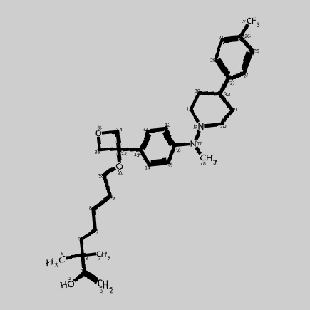 C=C(O)C(C)(C)CCCCCOC1(c2ccc(N(C)N3CCC(c4ccc(C(F)(F)F)cc4)CC3)cc2)COC1